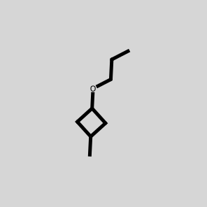 CCCOC1CC(C)C1